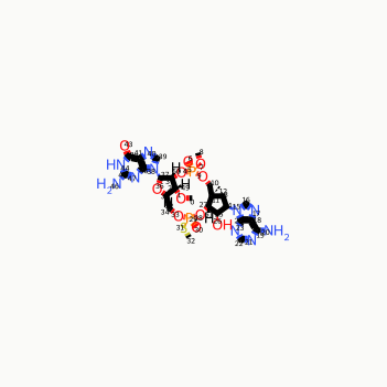 CO[C@H]1[C@H]2O[P@@](=O)(OC)OC[C@@]3(C)C[C@@H](n4cnc5c(N)ncnc54)[C@H](O)[C@@H]3O[P@@](=O)(SC)OC[C@H]1O[C@H]2n1cnc2c(=O)[nH]c(N)nc21